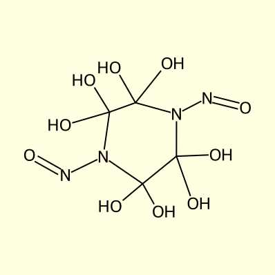 O=NN1C(O)(O)C(O)(O)N(N=O)C(O)(O)C1(O)O